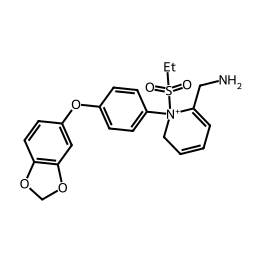 CCS(=O)(=O)[N+]1(c2ccc(Oc3ccc4c(c3)OCO4)cc2)CC=CC=C1CN